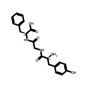 N[C@@H](Cc1ccc(O)cc1)C(=O)NCC(=O)N[C@@H](Cc1ccccc1)C(=O)O